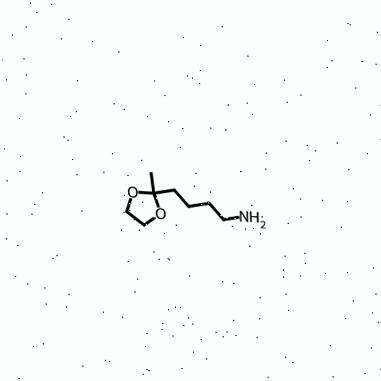 CC1(CCCCN)OCCO1